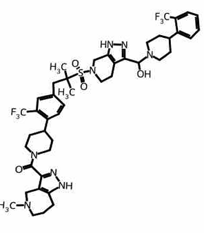 CN1CCCc2[nH]nc(C(=O)N3CCC(c4ccc(CC(C)(C)S(=O)(=O)N5CCc6c(C(O)N7CCC(c8ccccc8C(F)(F)F)CC7)n[nH]c6C5)cc4C(F)(F)F)CC3)c2C1